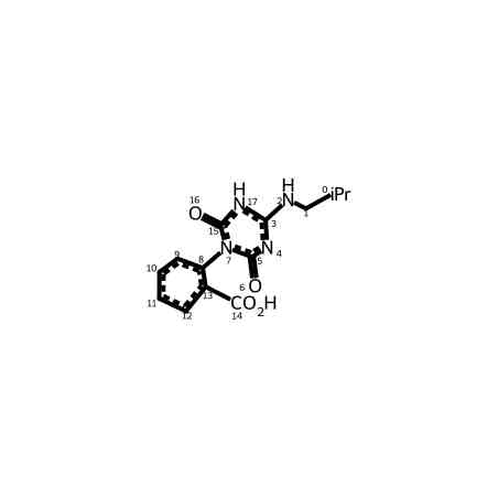 CC(C)CNc1nc(=O)n(-c2ccccc2C(=O)O)c(=O)[nH]1